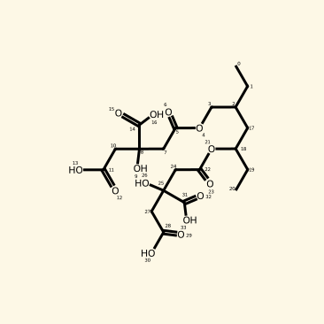 CCC(COC(=O)CC(O)(CC(=O)O)C(=O)O)CC(CC)OC(=O)CC(O)(CC(=O)O)C(=O)O